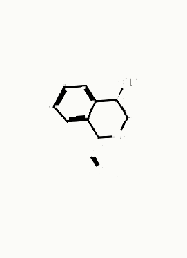 C=C[C@H]1OC[C@H](C)c2ccccc21